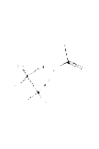 C=C(C)C(=O)O.CCC(O)(CC)C(O)(CC)C(C)=O